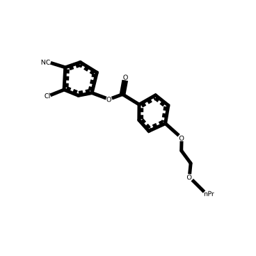 CCCOCCOc1ccc(C(=O)Oc2ccc(C#N)c(Cl)c2)cc1